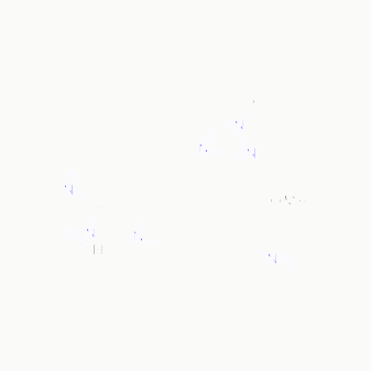 COc1c(N)cc(CN(C)Cc2cccnc2N)cc1-c1ncn(C)n1